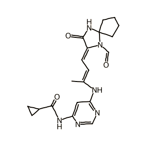 C/C(=C\C=C1\C(=O)NC2(CCCC2)N1C=O)Nc1cc(NC(=O)C2CC2)ncn1